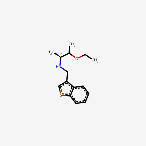 CCOC(C)[C@H](C)NCc1csc2ccccc12